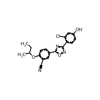 CCC(C)Oc1ccc(-c2nc(-c3ccc(O)cc3Cl)no2)cc1C#N